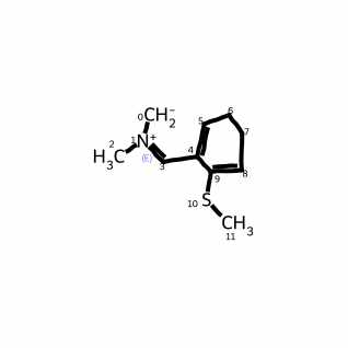 [CH2-]/[N+](C)=C\C1=CCCC=C1SC